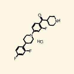 Cl.O=C(c1ccc(N2CCC(c3ccc(F)cc3F)CC2)cc1F)C1CCNCC1